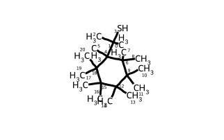 CC(C)(S)C1(C)C(C)(C)C(C)(C)C(C)(C)C(C)(C)C1(C)C